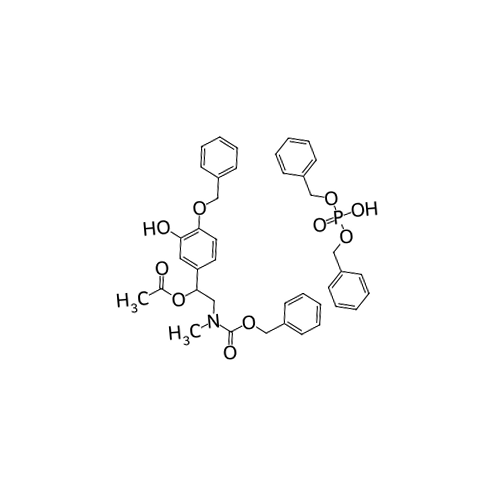 CC(=O)OC(CN(C)C(=O)OCc1ccccc1)c1ccc(OCc2ccccc2)c(O)c1.O=P(O)(OCc1ccccc1)OCc1ccccc1